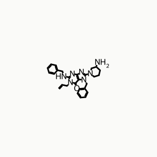 C=CCn1c(NCc2ccccc2)nc2nc(N3CCCC(N)C3)n(Cc3ccccc3)c2c1=O